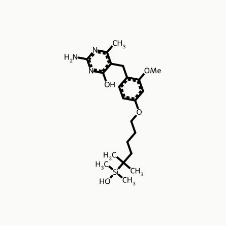 COc1cc(OCCCCC(C)(C)[Si](C)(C)O)ccc1Cc1c(C)nc(N)nc1O